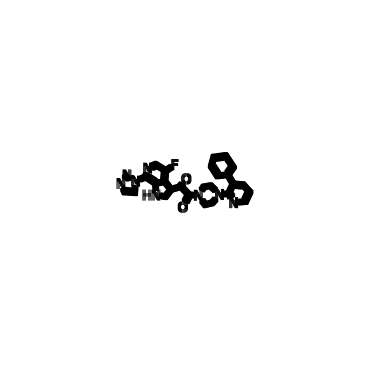 O=C(C(=O)N1CCN(c2ncccc2-c2ccccc2)CC1)C1CNc2c(-n3ccnn3)ncc(F)c21